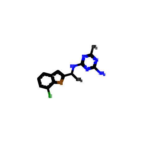 CC(Nc1nc(N)nc(C(F)(F)F)n1)c1cc2cccc(Cl)c2s1